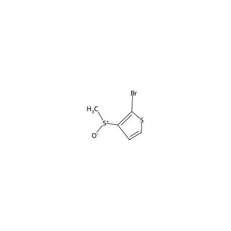 C[S+]([O-])c1ccsc1Br